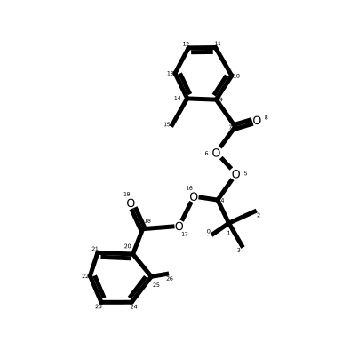 [CH2]C(C)(C)[C](OOC(=O)c1ccccc1C)OOC(=O)c1ccccc1C